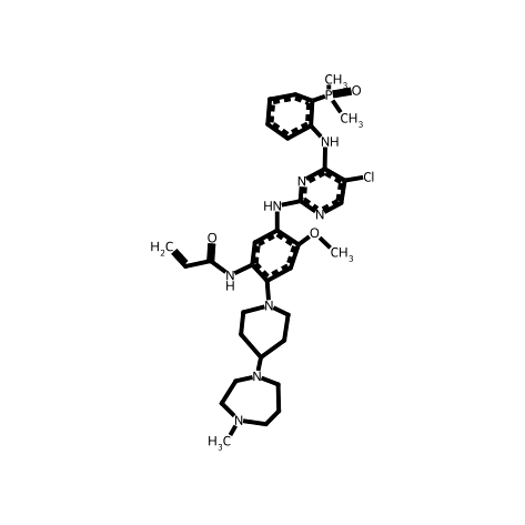 C=CC(=O)Nc1cc(Nc2ncc(Cl)c(Nc3ccccc3P(C)(C)=O)n2)c(OC)cc1N1CCC(N2CCCN(C)CC2)CC1